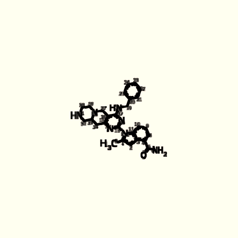 Cc1cc2c(C(N)=O)cccc2n1-c1nc2c(c(NCc3ccccc3)n1)CN1CCNCC1C2